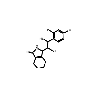 O=C1NC(C(S)C(S)c2ccc(Br)cc2F)C2=C1CCCC2